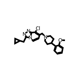 COc1ccccc1C1CCN(Cc2ccn3c(CC4CC4)nnc3c2Cl)CC1